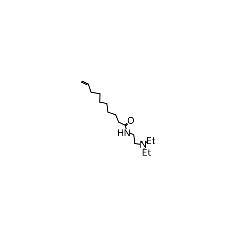 C=CCCCCCCCC(=O)NCCN(CC)CC